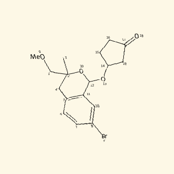 COCC1(C)Cc2ccc(Br)cc2C(OC2CCC(=O)C2)O1